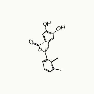 Cc1cccc(-c2cc3cc(O)c(O)cc3c(=O)o2)c1C